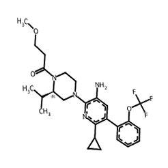 COCCC(=O)N1CCN(c2nc(C3CC3)c(-c3ccccc3OC(F)(F)F)cc2N)C[C@H]1C(C)C